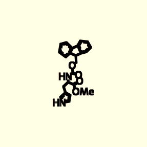 COC(=O)C(Cc1cc[nH]c1)NC(=O)OCC1c2ccccc2-c2ccccc21